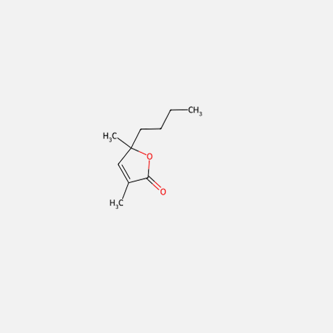 CCCCC1(C)C=C(C)C(=O)O1